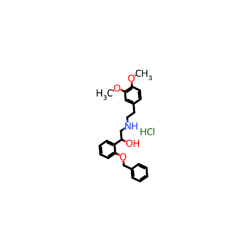 COc1ccc(CCNCC(O)c2ccccc2OCc2ccccc2)cc1OC.Cl